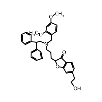 COc1ccc(CN(CCCC2Oc3cc(CCO)ccc3C2=O)CC(c2ccccc2)c2ccccc2)c(OC)c1